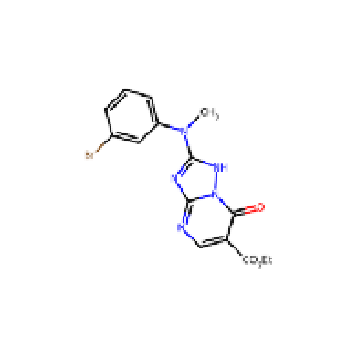 CCOC(=O)c1cnc2nc(N(C)c3cccc(Br)c3)[nH]n2c1=O